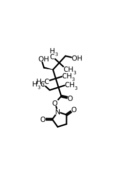 CCC(C)(C(=O)ON1C(=O)CCC1=O)C(C)(C)[C@@H](CO)C(C)(C)CO